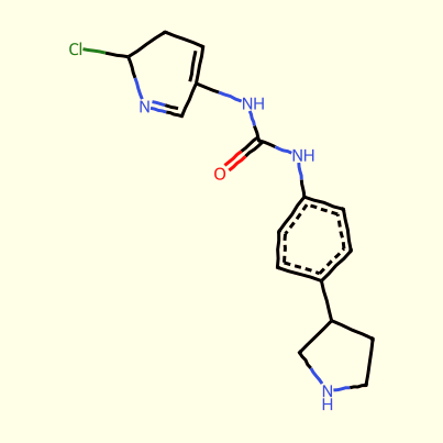 O=C(NC1=CCC(Cl)N=C1)Nc1ccc(C2CCNC2)cc1